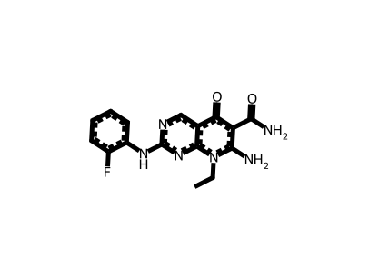 CCn1c(N)c(C(N)=O)c(=O)c2cnc(Nc3ccccc3F)nc21